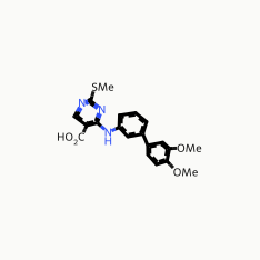 COc1ccc(-c2cccc(Nc3nc(SC)ncc3C(=O)O)c2)cc1OC